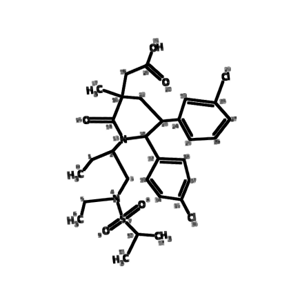 CCC(CN(CC)S(=O)(=O)C(C)C)N1C(=O)C(C)(CC(=O)O)CC(c2cccc(Cl)c2)C1c1ccc(Cl)cc1